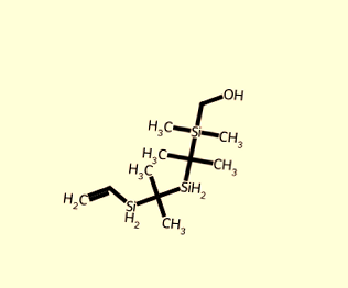 C=C[SiH2]C(C)(C)[SiH2]C(C)(C)[Si](C)(C)CO